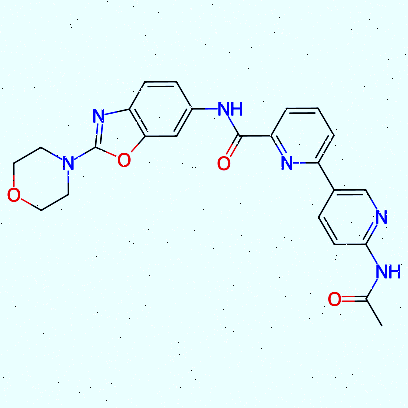 CC(=O)Nc1ccc(-c2cccc(C(=O)Nc3ccc4nc(N5CCOCC5)oc4c3)n2)cn1